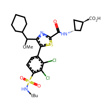 COC(c1nc(C(=O)N[C@H]2C[C@H](C(=O)O)C2)sc1-c1ccc(S(=O)(=O)NC(C)(C)C)c(Cl)c1Cl)C1CCCCC1